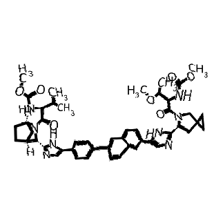 COC(=O)NC(C(=O)N1CC2(CC2)C[C@H]1c1ncc(-c2ccc3cc(-c4ccc(-c5cnc([C@@H]6[C@H]7CC[C@H](C7)N6C(=O)[C@@H](NC(=O)OC)C(C)C)[nH]5)cc4)ccc3c2)[nH]1)C(C)OC